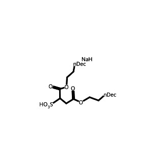 CCCCCCCCCCCCOC(=O)CC(C(=O)OCCCCCCCCCCCC)S(=O)(=O)O.[NaH]